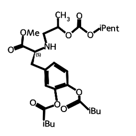 CCCC(C)OC(=O)OC(C)CN[C@@H](Cc1ccc(OC(=O)C(C)CC)c(OC(=O)C(C)CC)c1)C(=O)OC